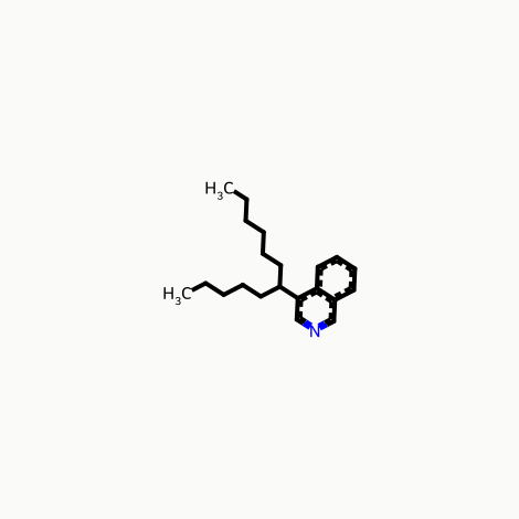 CCCCCCC(CCCCC)c1cncc2ccccc12